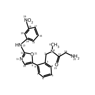 CN(Cc1ccccc1-c1cnc(Nc2cccc([N+](=O)[O-])c2)o1)C(=O)CN